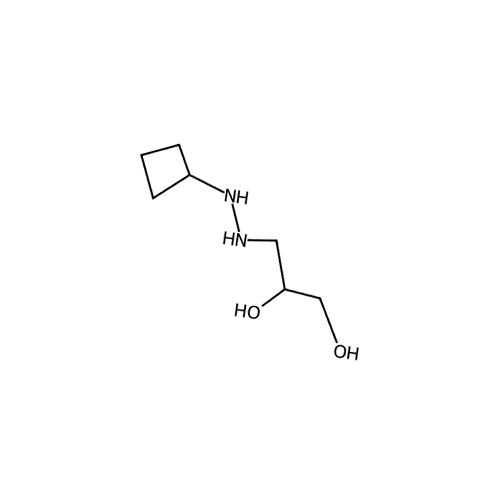 OCC(O)CNNC1CCC1